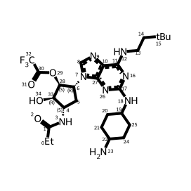 CCC(=O)N[C@H]1C[C@@H](n2cnc3c(NCCC(C)(C)C)nc(NC4CCC(N)CC4)nc32)[C@H](OC(=O)C(F)(F)F)[C@@H]1O